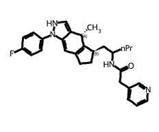 CCCC(C[C@H]1CCC2=C1[C@@H](C)C1=CNN(c3ccc(F)cc3)C1=C2)NC(=O)Cc1cccnc1